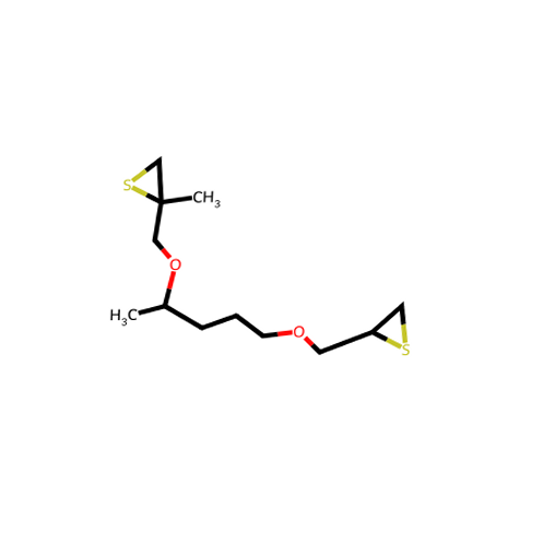 CC(CCCOCC1CS1)OCC1(C)CS1